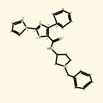 O=C(NC1CCN(Cc2ccccc2)C1)c1sc(-n2cccn2)nc1-c1ccccc1